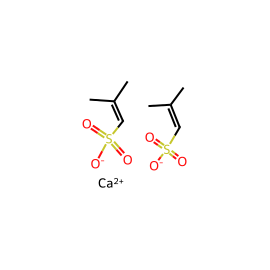 CC(C)=CS(=O)(=O)[O-].CC(C)=CS(=O)(=O)[O-].[Ca+2]